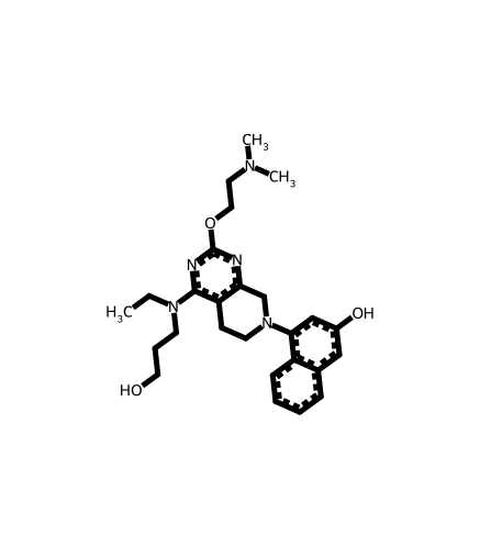 CCN(CCCO)c1nc(OCCN(C)C)nc2c1CCN(c1cc(O)cc3ccccc13)C2